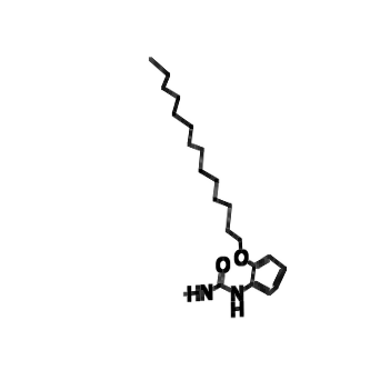 CCCCCCCCCCCCCCOc1ccccc1NC([NH])=O